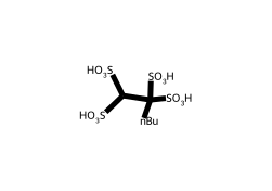 CCCCC([C](S(=O)(=O)O)S(=O)(=O)O)(S(=O)(=O)O)S(=O)(=O)O